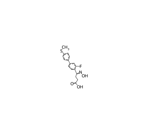 CSc1ccc(-c2ccc(C(CCC(=O)O)=NO)c(F)c2)cc1